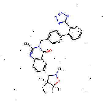 CCCCc1nc2ccc([C@H]3[C@@H]4CCC[C@@H]4ON3C)cc2c(=O)n1Cc1ccc(-c2ccccc2-c2nnn[nH]2)cc1